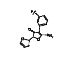 NC1=C(c2cccc(C(F)(F)F)c2)C(=O)C(C2CC=CO2)O1